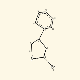 CCC(CC(Br)Br)c1ccccc1